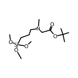 CO[Si](CCCN(C)CC(=O)OC(C)(C)C)(OC)OC